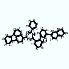 c1ccc(-c2nc(-c3ccc4c5c(cccc35)-c3ccccc3-4)nc(-c3cccc4oc5c(-c6ccc7ccccc7c6)cccc5c34)n2)cc1